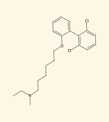 CCN(C)CCCCCCOc1ccccc1-c1c(Cl)cccc1Cl